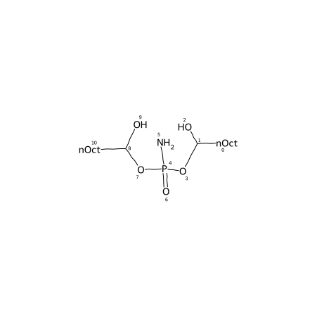 CCCCCCCCC(O)OP(N)(=O)OC(O)CCCCCCCC